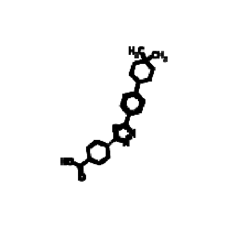 CC1(C)CCC(c2ccc(-c3nnc([C@H]4CC[C@H](C(=O)O)CC4)s3)cc2)CC1